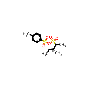 CC[C@@H](C)C(C)S(=O)(=O)OS(=O)(=O)c1ccc(C)cc1